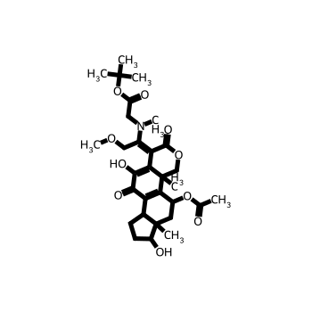 COCC(=C1C(=O)OCC2(C)C1=C(O)C(=O)C1=C2C(OC(C)=O)CC2(C)C(O)CCC12)N(C)CC(=O)OC(C)(C)C